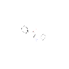 CCN(C1=CC(=O)c2ccccc2OC1)c1ccccc1